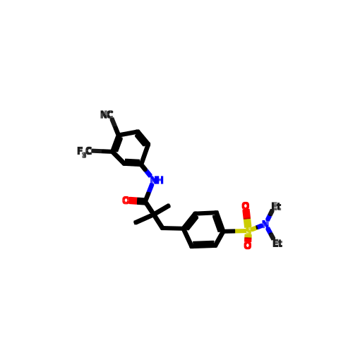 CCN(CC)S(=O)(=O)c1ccc(CC(C)(C)C(=O)Nc2ccc(C#N)c(C(F)(F)F)c2)cc1